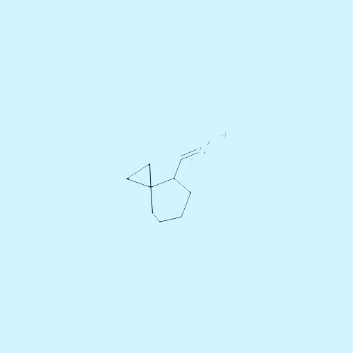 O/N=C/C1CCCCC12CC2